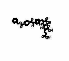 O=C(O)CCC(NC(=O)NC(Cc1ccc(NC(=O)N2CCN(C(=O)OCc3ccccc3)CC2)cc1)C(=O)O)C(=O)O